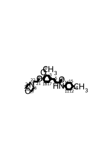 COc1cc(C=CC(=O)NC2CCC(C)CC2)ccc1OCCN1CCOCC1